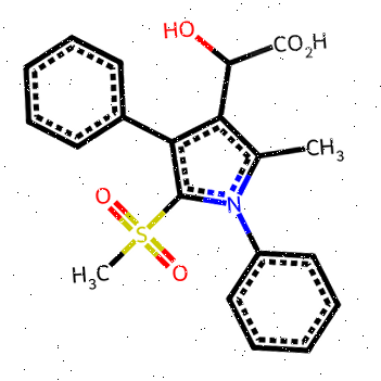 Cc1c(C(O)C(=O)O)c(-c2ccccc2)c(S(C)(=O)=O)n1-c1ccccc1